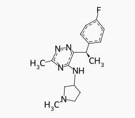 Cc1nnc([C@H](C)c2ccc(F)cc2)c(NC2CCN(C)C2)n1